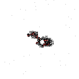 CC(c1ccccc1)C1NC(=O)CNC(=O)C(CO)NC(=O)C(C(O)C2CNC(=N)N2C2OC(CO)C(O)C(O)C2O)NC(=O)C(C(O)C2CNC(=N)N2)NC(=O)C(Cc2ccc(OC3OC(CO)C(OC4OC5COC(CC67CC8CC(CC(C8)C6)C7)OC5C(O)C4O)C(O)C3O)cc2)NC1=O